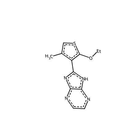 CCOc1scc(C)c1-c1nc2nccnc2[nH]1